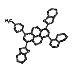 Cc1ccc(-c2cc(-c3cc4ccccc4o3)c3ccc4c(-c5cccc6ccccc56)cc(-c5cc6ccccc6o5)c5ccc2c3c54)cc1